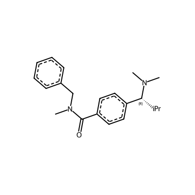 CC(C)[C@H](c1ccc(C(=O)N(C)Cc2ccccc2)cc1)N(C)C